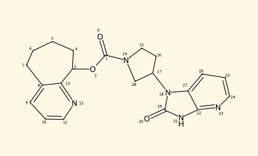 O=C(OC1CCCCc2cccnc21)N1CCC(n2c(=O)[nH]c3ncccc32)C1